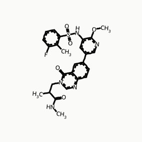 CNC(=O)C(C)Cn1cnc2ccc(-c3cnc(OC)c(NS(=O)(=O)c4cccc(F)c4C)c3)cc2c1=O